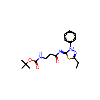 CCC1=N[N+](c2ccccc2)C(=NC(=O)CCNC(=O)OC(C)(C)C)S1